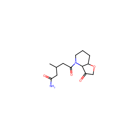 CC(CC(N)=O)CC(=O)N1CCCC2OCC(=O)C21